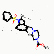 COc1ccc2c(cc(C(=O)[O-])n2S(=O)(=O)c2ccccc2)c1CN1CCN(C(=O)OC(C)(C)C)CC1.[Li+]